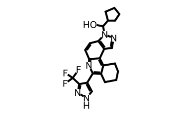 OC(C1CCCC1)n1ncc2c3c4c(c(-c5c[nH]nc5C(F)(F)F)nc3ccc21)CCCC4